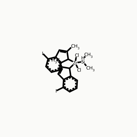 CC1=Cc2c(I)cccc2[CH]1[Zr]([Cl])([Cl])([CH]1C(C)=Cc2c(I)cccc21)[SiH](C)C